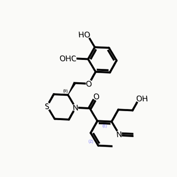 C=N/C(CCO)=C(\C=C/C)C(=O)N1CCSC[C@H]1COc1cccc(O)c1C=O